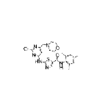 Cc1cc(C)c(NC(=O)c2cnc(Nc3cc(CN4CCOCC4)nc(Cl)n3)s2)c(C)c1